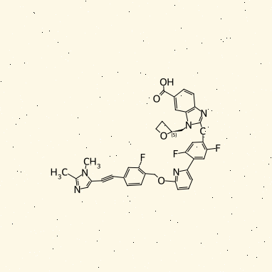 Cc1ncc(C#Cc2ccc(COc3cccc(-c4cc(F)c(Cc5nc6ccc(C(=O)O)cc6n5C[C@@H]5CCO5)cc4F)n3)c(F)c2)n1C